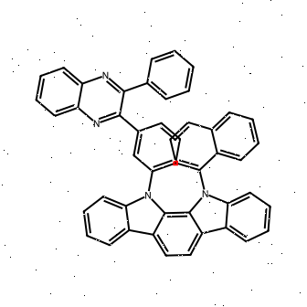 c1ccc(-c2nc3ccccc3nc2-c2cccc(-n3c4ccccc4c4ccc5c6ccccc6n(-c6cccc7ccccc67)c5c43)c2)cc1